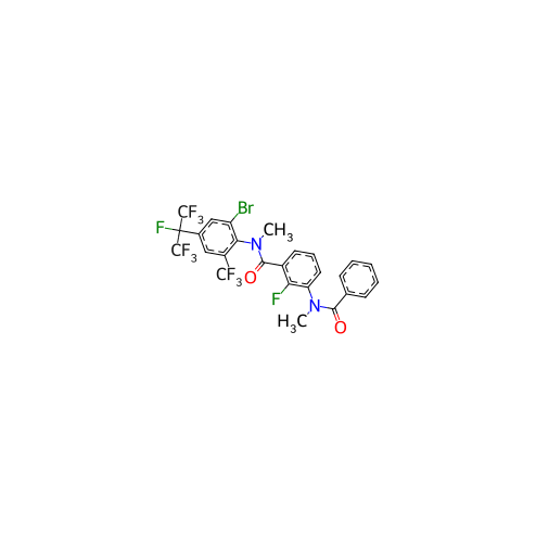 CN(C(=O)c1ccccc1)c1cccc(C(=O)N(C)c2c(Br)cc(C(F)(C(F)(F)F)C(F)(F)F)cc2C(F)(F)F)c1F